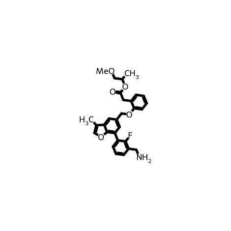 COCC(C)OC(=O)Cc1ccccc1OCc1cc(-c2cccc(CN)c2F)c2occ(C)c2c1